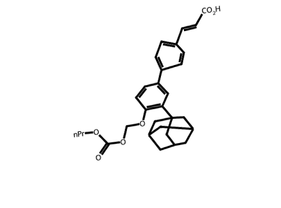 CCCOC(=O)OCOc1ccc(-c2ccc(C=CC(=O)O)cc2)cc1C12CC3CC(CC(C3)C1)C2